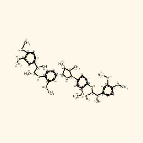 COc1ccc([C@@H](O)[C@@H](C)Oc2ccc([C@H]3O[C@H](c4ccc(O[C@H](C)[C@H](O)c5ccc(OC)c(OC)c5)c(OC)c4)[C@H](C)[C@H]3C)cc2OC)cc1OC